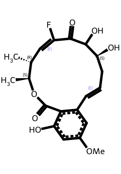 COc1cc(O)c2c(c1)/C=C/C[C@H](O)C(O)C(=O)/C(F)=C\[C@@H](C)[C@H](C)OC2=O